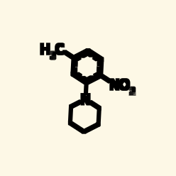 Cc1ccc([N+](=O)[O-])c(N2CCCCC2)c1